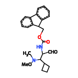 CON(C)C(C1CCC1)C(C=O)NC(=O)OCC1c2ccccc2-c2ccccc21